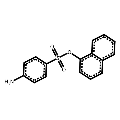 Nc1ccc(S(=O)(=O)Oc2cccc3ccccc23)cc1